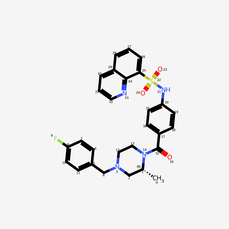 C[C@@H]1CN(Cc2ccc(F)cc2)CCN1C(=O)c1ccc(NS(=O)(=O)c2cccc3cccnc23)cc1